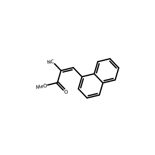 COC(=O)C(C#N)=Cc1cccc2ccccc12